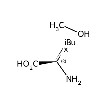 CC[C@@H](C)[C@@H](N)C(=O)O.CO